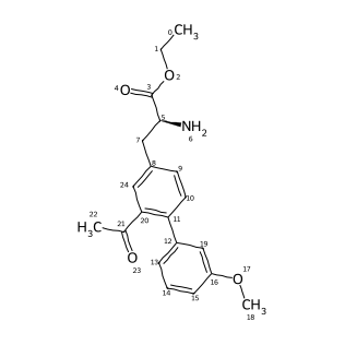 CCOC(=O)[C@@H](N)Cc1ccc(-c2cccc(OC)c2)c(C(C)=O)c1